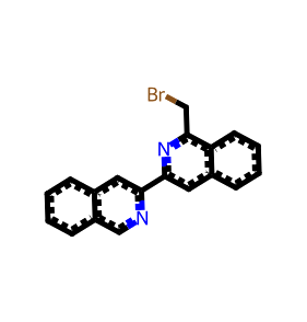 BrCc1nc(-c2cc3ccccc3cn2)cc2ccccc12